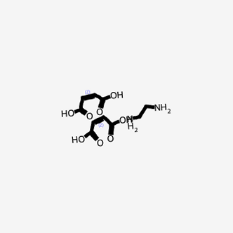 NCCN.O=C(O)/C=C\C(=O)O.O=C(O)/C=C\C(=O)O